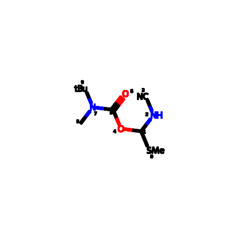 CSC(NC#N)OC(=O)N(C)C(C)(C)C